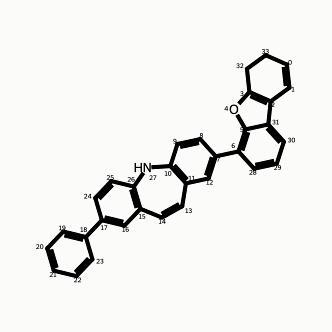 C1=Cc2c(oc3c(-c4ccc5c(c4)C=Cc4cc(-c6ccccc6)ccc4N5)cccc23)CC1